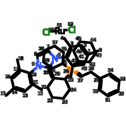 Cc1cc(C)c(N2C=CN(c3c(C)cc(C)cc3C)C2=C2CCCCC2P(=CCc2ccccc2)(C2CCCCC2)C2CCCCC2)c(C)c1.[Cl][Ru][Cl]